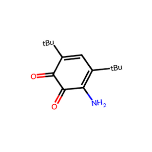 CC(C)(C)C1=CC(C(C)(C)C)=C(N)C(=O)C1=O